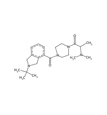 CC(C(=O)N1CCN(C(=O)c2cccc3c2CN(C(C)(C)C)C3)CC1)N(C)C